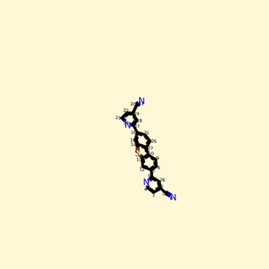 N#Cc1ccnc(-c2ccc3c(c2)sc2cc(-c4cc(C#N)ccn4)ccc23)c1